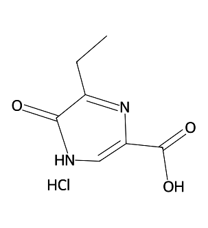 CCc1nc(C(=O)O)c[nH]c1=O.Cl